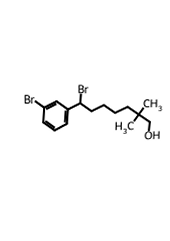 CC(C)(CO)CCCCC(Br)c1cccc(Br)c1